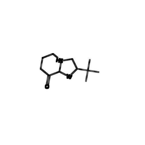 CC(C)(C)[CH]1C[SH]2CCCC(=O)[CH]2[W]1